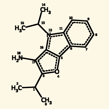 CC(C)c1oc2c3ccccc3n(C(C)C)c2c1N